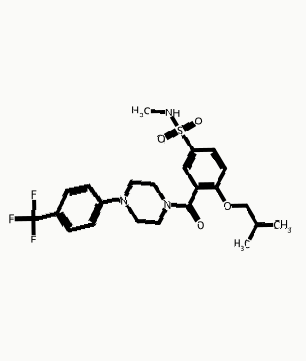 CNS(=O)(=O)c1ccc(OCC(C)C)c(C(=O)N2CCN(c3ccc(C(F)(F)F)cc3)CC2)c1